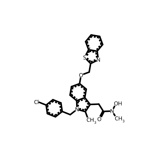 Cc1c(CC(=O)N(C)O)c2cc(OCc3nc4ccccc4s3)ccc2n1Cc1ccc(Cl)cc1